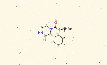 CC(=O)N[C@H](C(=O)N1CCN[C@@H](C)C1)C1CCCCC1